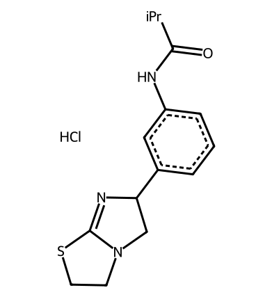 CC(C)C(=O)Nc1cccc(C2CN3CCSC3=N2)c1.Cl